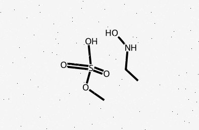 CCNO.COS(=O)(=O)O